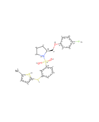 N#Cc1ccc(Sc2cccc(S(=O)(=O)N3CCC[C@H]3COc3ccc(F)cc3)c2)s1